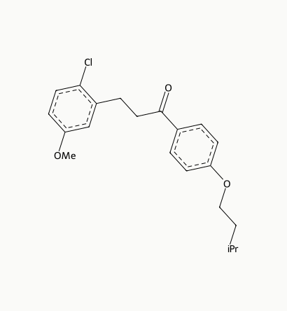 COc1ccc(Cl)c(CCC(=O)c2ccc(OCCC(C)C)cc2)c1